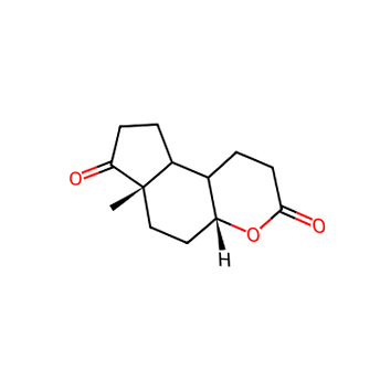 C[C@]12CC[C@H]3OC(=O)CCC3C1CCC2=O